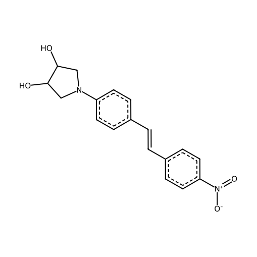 O=[N+]([O-])c1ccc(/C=C/c2ccc(N3CC(O)C(O)C3)cc2)cc1